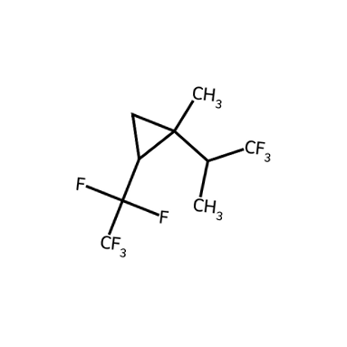 CC(C(F)(F)F)C1(C)CC1C(F)(F)C(F)(F)F